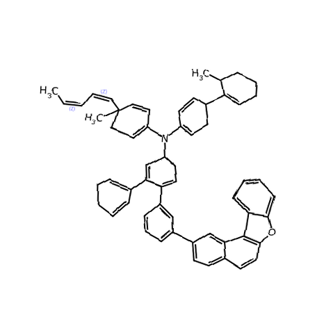 C/C=C\C=C/C1(C)C=CC(N(C2=CCC(C3=CCCCC3C)C=C2)C2C=C(C3=CCCC=C3)C(c3cccc(-c4ccc5ccc6oc7ccccc7c6c5c4)c3)=CC2)=CC1